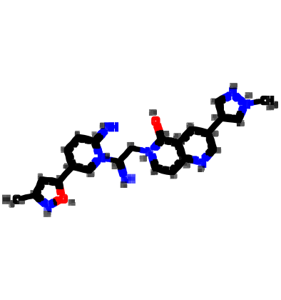 Cc1cc(-c2ccc(=N)n(C(=N)Cn3ccc4ncc(-c5cnn(C)c5)cc4c3=O)c2)on1